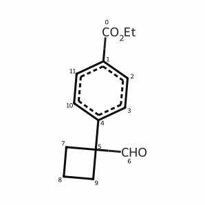 CCOC(=O)c1ccc(C2(C=O)CCC2)cc1